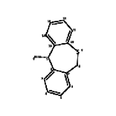 C[C@H]1c2ccccc2CSc2ccccc21